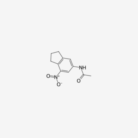 CC(=O)Nc1cc2c(c([N+](=O)[O-])c1)CCC2